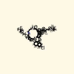 CN1CC/C=C/[C@H](OCCN2CC(F)(F)C2)[C@@H]2CC[C@H]2CN2C[C@@]3(CCCc4cc(Cl)ccc43)COc3ccc(cc32)[C@@](O)(C(=O)NS(=O)(=O)N(C)CCO[Si](C)(C)C(C)(C)C)CC1=O